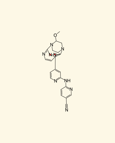 COC1CN2CCN1c1nccc3c2nc(-c2ccnc(Nc4ccc(C#N)cn4)c2)nc13